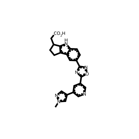 Cn1cc(-c2cncc(-c3nc(-c4ccc5[nH]c6c(c5c4)CCC6CC(=O)O)no3)c2)cn1